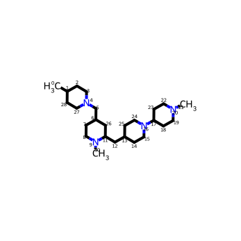 CC1CCN(CC2CCN(C)C(CC3CCN(C4CCN(C)CC4)CC3)C2)CC1